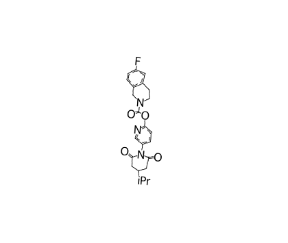 CC(C)C1CC(=O)N(c2ccc(OC(=O)N3CCc4cc(F)ccc4C3)nc2)C(=O)C1